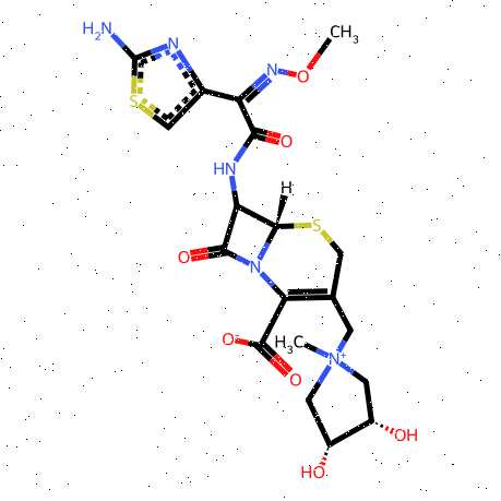 CO/N=C(\C(=O)NC1C(=O)N2C(C(=O)[O-])=C(C[N+]3(C)C[C@@H](O)[C@@H](O)C3)CS[C@@H]12)c1csc(N)n1